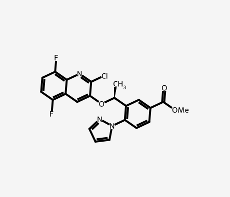 COC(=O)c1ccc(-n2cccn2)c([C@H](C)Oc2cc3c(F)ccc(F)c3nc2Cl)c1